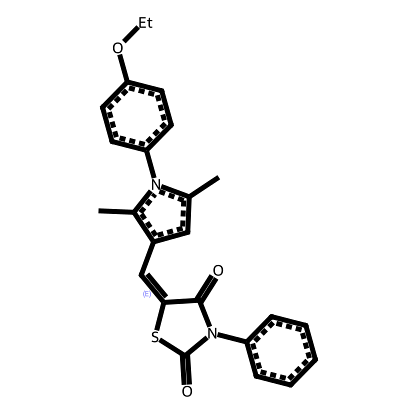 CCOc1ccc(-n2c(C)cc(/C=C3/SC(=O)N(c4ccccc4)C3=O)c2C)cc1